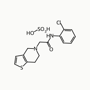 O=C(CN1CCc2sccc2C1)Nc1ccccc1Cl.O=S(=O)(O)O